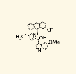 C=CC1C[N@@+]2(Cc3c4ccccc4cc4ccccc34)CCC1CC2C(O)c1ccnc2ccc(OC)cc12.[Cl-]